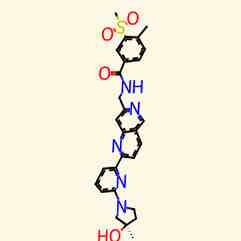 Cc1ccc(C(=O)NCc2cc3nc(-c4cccc(N5CC[C@@](C)(O)C5)n4)ccc3cn2)cc1S(C)(=O)=O